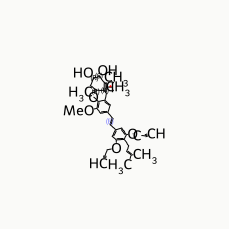 C#CCOc1cc(/C=C/c2cc3c(c(OC)c2)O[C@]2(C)C[C@@H](O)[C@@H](O)C(C)(C)[C@H]2C3)cc(OCC#C)c1CC=C(C)C